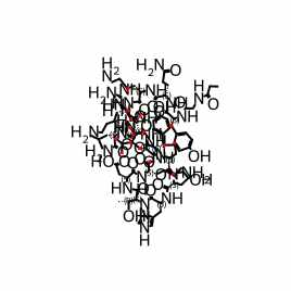 CCC(=O)NCC(=O)N[C@@H](Cc1ccc(O)cc1)C(=O)N[C@@H](CCC(N)=O)C(=O)N[C@@H](CCCCN)C(=O)N[C@@H](CCCCN)C(=O)N[C@@H](CC(C)C)C(=O)N[C@@H](CCCNC(=N)N)C(=O)N1CCC[C@H]1C(=O)N1CC(O)C[C@H]1C(=O)N[C@@H](Cc1c[nH]cn1)C(=O)N[C@H](C(=O)N[C@@H](CC(=O)O)C(=O)N[C@@H](CCCCN)C(=O)N[C@@H](Cc1ccc(O)cc1)C(=O)N[C@@H](CCCNC(=N)N)C(=O)N[C@@H](CC(C)C)C(N)=O)[C@@H](C)O